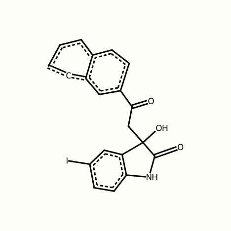 O=C(CC1(O)C(=O)Nc2ccc(I)cc21)c1ccc2ccccc2c1